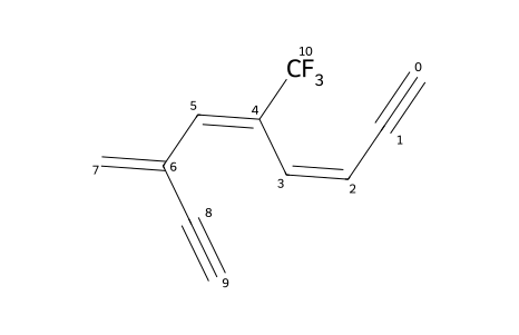 C#C/C=C\C(=C/C(=C)C#C)C(F)(F)F